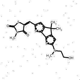 CN1C(=O)S/C(=C/c2cc3c(s2)-c2sc(N(C)CCO)cc2C3(C)C)C1=O